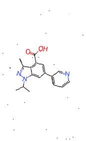 Cc1nn(C(C)C)c2cc(-c3cccnc3)cc(C(=O)O)c12